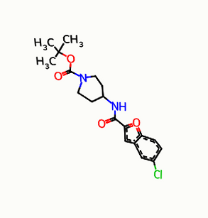 CC(C)(C)OC(=O)N1CCC(NC(=O)c2cc3cc(Cl)ccc3o2)CC1